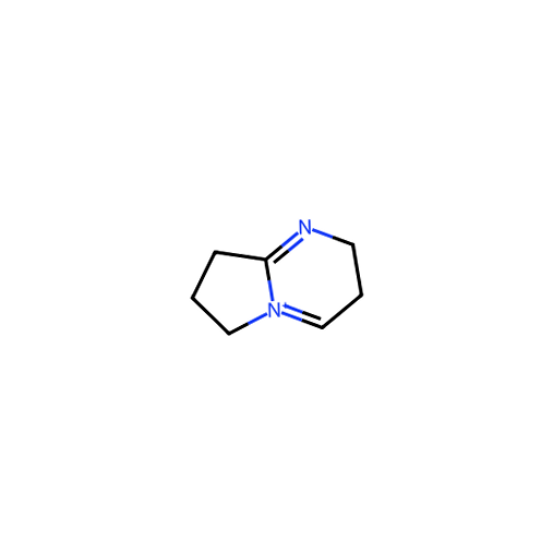 C1=[N+]2CCCC2=NCC1